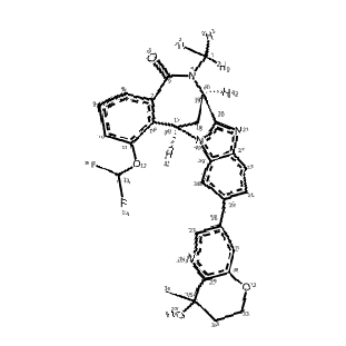 [2H]C([2H])([2H])N1C(=O)c2cccc(OC(F)F)c2[C@H]2C[C@@H]1c1nc3ccc(-c4cnc5c(c4)OCCC5(C)O)cc3n12